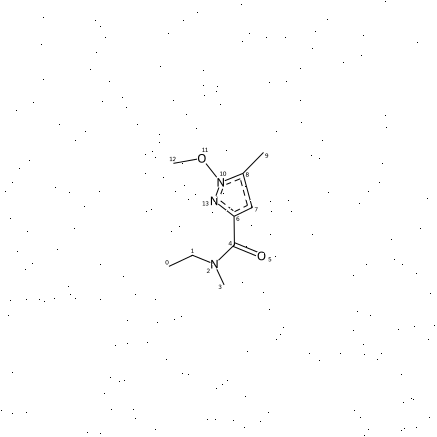 CCN(C)C(=O)c1cc(C)n(OC)n1